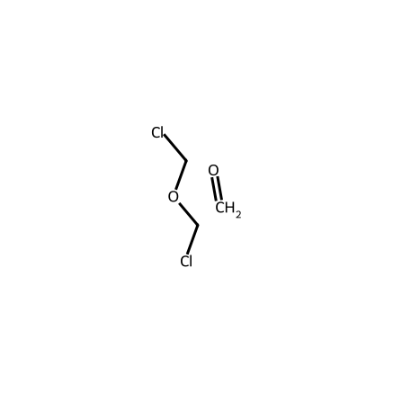 C=O.ClCOCCl